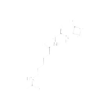 CC(=O)NCCCCCC(=O)N[C@H](C)C(=O)N[C@@H]1C(=O)O[C@@H]1C